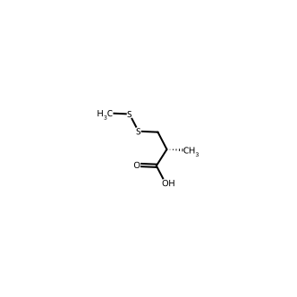 CSSC[C@H](C)C(=O)O